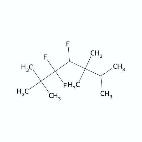 CC(C)C(C)(C)C(F)C(F)(F)C(C)(C)C